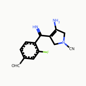 N#CN1CC(N)=C(C(=N)c2ccc(C=O)cc2F)C1